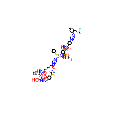 C=C(F)CCC1=C(CN2CCN(c3ccc(C(=O)NS(=O)(=O)c4ccc(N[C@H](CCN5CCN(C(=O)CCCCCC(=O)NC(C(=O)N6C[C@H](O)C[C@H]6C(=O)N[C@@H](C)c6ccc(-c7scnc7C)cc6)C(C)(C)C)CC5)CSc5ccccc5)c(S(=O)(=O)C(F)(F)F)c4)cc3)CC2)CCC(C)(C)C1